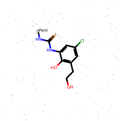 CCCCCNC(=S)Nc1cc(Cl)cc(CCO)c1O